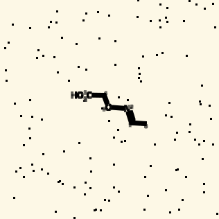 C/C=N/OCC(=O)O